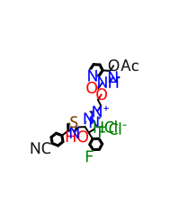 CC(=O)OC(c1cccnc1NC(=O)OCC[n+]1cnn(C[C@](O)(c2cc(F)ccc2F)[C@@H](C)c2nc(-c3ccc(C#N)cc3)cs2)c1)N(C)C.Cl.[Cl-]